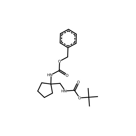 CC(C)(C)OC(=O)NCC1(NC(=O)OCc2ccccc2)CCCC1